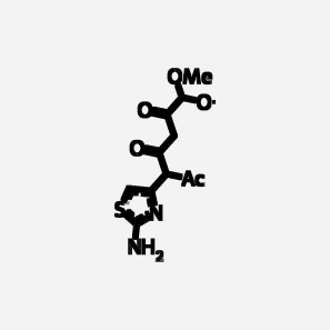 COC([O])C(=O)CC(=O)C(C(C)=O)c1csc(N)n1